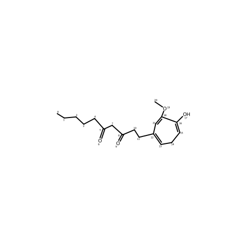 CCCCCC(=O)CC(=O)CCC1=CCC=C(O)C(OC)=C1